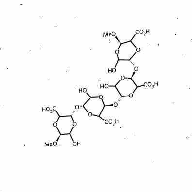 CO[C@H]1OC(C(=O)O)[C@H](O[C@H]2OC(C(=O)O)[C@H](O[C@H]3OC(C(=O)O)[C@H](O[C@H]4OC(C(=O)O)[C@H](OC)OC4O)OC3O)OC2O)OC1O